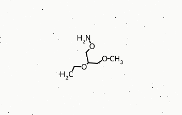 [CH2]COC([CH]OC)CON